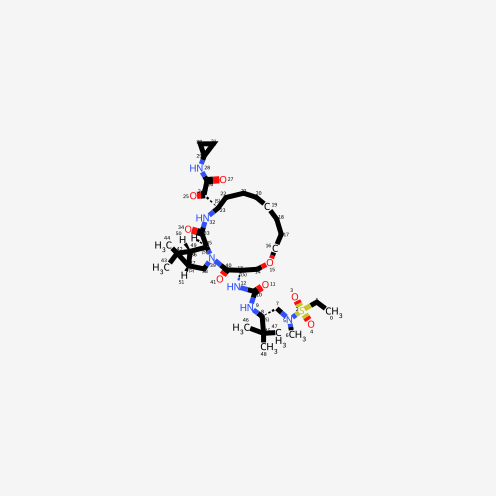 CCS(=O)(=O)N(C)C[C@@H](NC(=O)N[C@H]1COCCCCCCC[C@@H](C(=O)C(=O)NC2CC2)NC(=O)[C@@H]2[C@@H]3[C@H](CN2C1=O)C3(C)C)C(C)(C)C